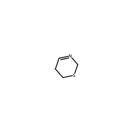 [CH]1C=NCSC1